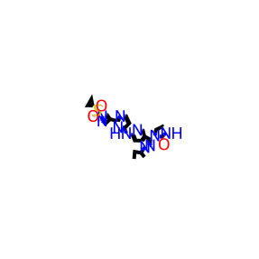 CCC(C)n1nc(N2CCNC2=O)c2cnc(Nc3ccnc(-c4cnn(S(=O)(=O)C5CC5)c4)n3)cc21